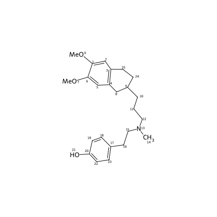 COc1cc2c(cc1OC)CC(CCCN(C)CCc1ccc(O)cc1)CC2